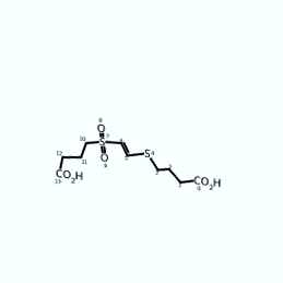 O=C(O)CCCSC=CS(=O)(=O)CCCC(=O)O